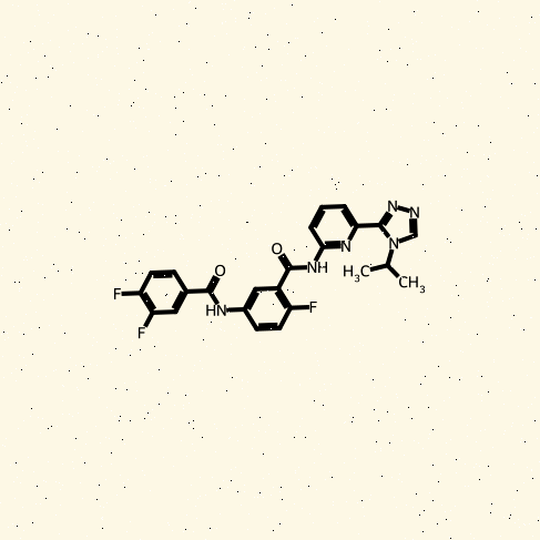 CC(C)n1cnnc1-c1cccc(NC(=O)c2cc(NC(=O)c3ccc(F)c(F)c3)ccc2F)n1